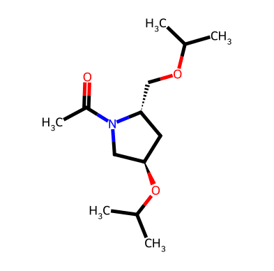 CC(=O)N1C[C@H](OC(C)C)C[C@H]1COC(C)C